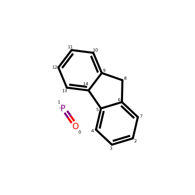 O=[P].c1ccc2c(c1)Cc1ccccc1-2